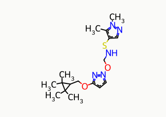 Cc1c(SNCOn2ccc(OCC3C(C)(C)C3(C)C)n2)cnn1C